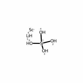 O[Si](O)(O)O.[LiH].[Sc]